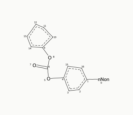 CCCCCCCCCc1ccc(OC(=O)Oc2ccccc2)cc1